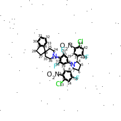 O=[N+]([O-])c1cc([C@H]2CC[C@H](c3cc([N+](=O)[O-])c(Cl)cc3F)N2c2cc(F)c(N3CCC4(CCc5ccccc54)CC3)c(F)c2)c(F)cc1Cl